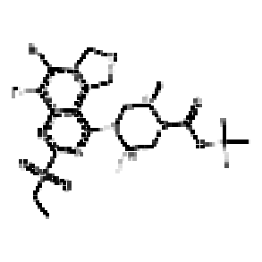 CCS(=O)(=O)c1nc(N2C[C@@H](C)N(C(=O)OC(C)(C)C)C[C@@H]2C)c2c3c(c(Br)c(F)c2n1)COC3